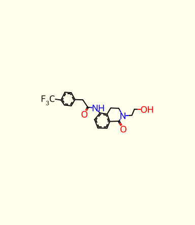 O=C(Cc1ccc(C(F)(F)F)cc1)Nc1cccc2c1CCN(CCO)C2=O